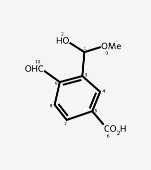 COC(O)c1cc(C(=O)O)ccc1C=O